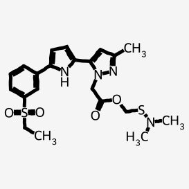 CCS(=O)(=O)c1cccc(-c2ccc(-c3cc(C)nn3CC(=O)OCSN(C)C)[nH]2)c1